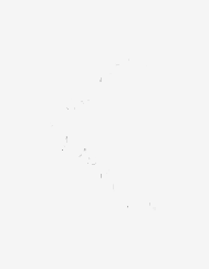 [As-3].[As-3].[Ga+3].[Ga+3].[Ga+3].[In+3].[In+3].[In+3].[P-3].[P-3].[SbH6-3].[SbH6-3]